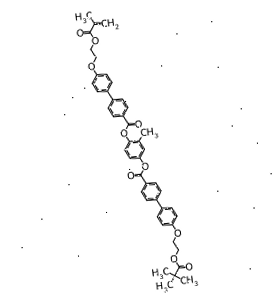 C=C(C)C(=O)OCCOc1ccc(-c2ccc(C(=O)Oc3ccc(OC(=O)c4ccc(-c5ccc(OCCOC(=O)C(C)(C)C)cc5)cc4)cc3C)cc2)cc1